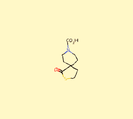 O=C(O)N1CCC2(CCSC2=O)CC1